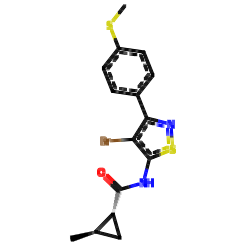 CSc1ccc(-c2nsc(NC(=O)[C@@H]3C[C@H]3C)c2Br)cc1